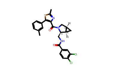 Cc1cccc(-c2sc(C)nc2C(=O)N2C[C@H]3C[C@H]3[C@H]2CNC(=O)c2ccc(Cl)c(Cl)c2)c1